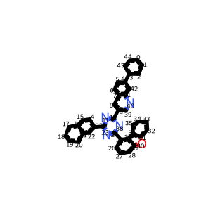 c1ccc(-c2ccc3cc(-c4nc(-c5ccc6ccccc6c5)nc(-c5cccc6oc7ccccc7c56)n4)cnc3c2)cc1